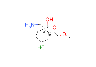 COCC[C@@H]1CCCC[C@@]1(CN)C(=O)O.Cl